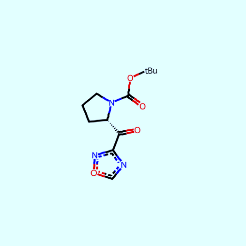 CC(C)(C)OC(=O)N1CCC[C@H]1C(=O)c1ncon1